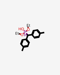 CCO[PH](O)(OCC)C(c1ccc(C)cc1)c1ccc(C)cc1